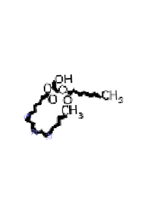 CCCCC/C=C\C/C=C\C/C=C\CCCCC(=O)OC(CO)COC(=O)CCCCCCC